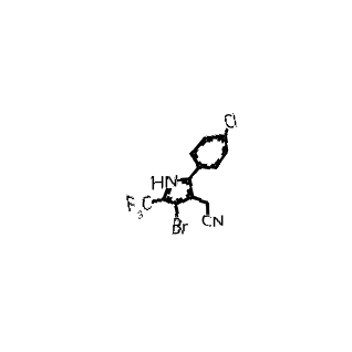 N#CCc1c(-c2ccc(Cl)cc2)[nH]c(C(F)(F)F)c1Br